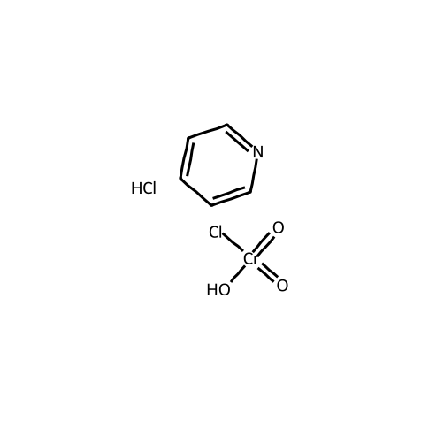 Cl.[O]=[Cr](=[O])([OH])[Cl].c1ccncc1